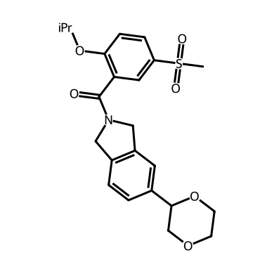 CC(C)Oc1ccc(S(C)(=O)=O)cc1C(=O)N1Cc2ccc(C3COCCO3)cc2C1